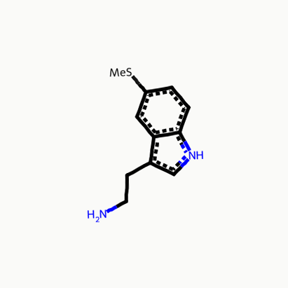 CSc1ccc2[nH]cc(CCN)c2c1